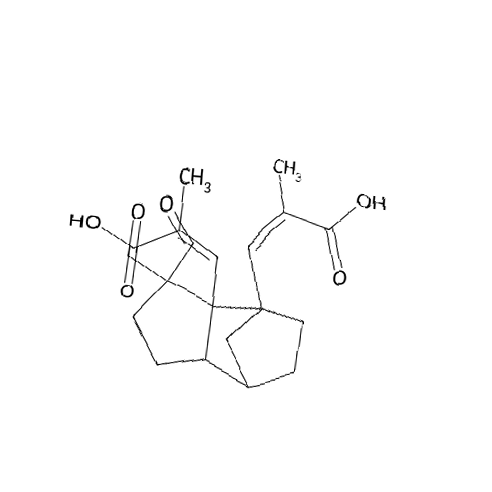 CC(=CC12CCC(C1)C1CCC(C=O)(C=O)C12C=C(C)C(=O)O)C(=O)O